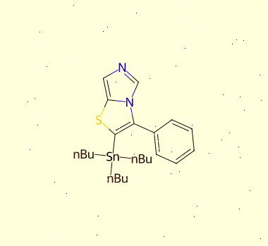 CCC[CH2][Sn]([CH2]CCC)([CH2]CCC)[c]1sc2cncn2c1-c1ccccc1